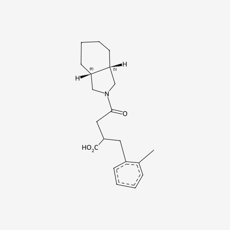 Cc1ccccc1CC(CC(=O)N1C[C@H]2CCCC[C@H]2C1)C(=O)O